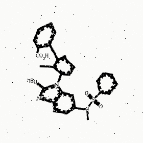 CCCCc1nc2ccc(N(C)S(=O)(=O)c3ccccc3)cc2n1-c1cccc(-c2ccccc2C(=O)O)c1C